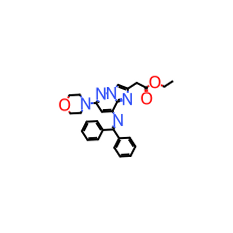 CCOC(=O)Cc1cn2nc(N3CCOCC3)cc(N=C(c3ccccc3)c3ccccc3)c2n1